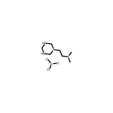 CN(C)CCN1CNCNC1.[Cl][Cr]([Cl])[Cl]